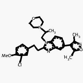 COc1ccc(CCc2nc3cc(-c4c(C)noc4C)ccc3n2CC(C)N2CCOCC2)cc1Cl